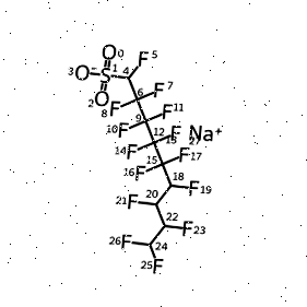 O=S(=O)([O-])C(F)C(F)(F)C(F)(F)C(F)(F)C(F)(F)C(F)C(F)C(F)C(F)F.[Na+]